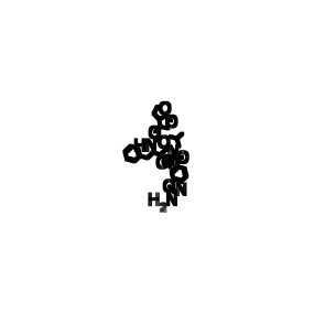 CC(C)CN(CC(O)C(Cc1ccccc1)NC(=O)OC1COC2OCCC12)S(=O)(=O)c1ccc2nc(N)oc2c1